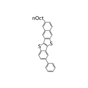 CCCCCCCCc1ccc2cc3sc4c5cc(-c6ccccc6)ccc5sc4c3cc2c1